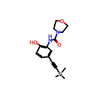 C[Si](C)(C)C#Cc1ccc(O)c(NC(=O)N2CCOCC2)c1